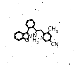 Cc1cc(C#N)cnc1CC(N)c1ccccc1-c1noc2ccccc12